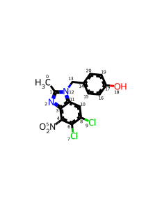 Cc1nc2c([N+](=O)[O-])c(Cl)c(Cl)cc2n1Cc1ccc(O)cc1